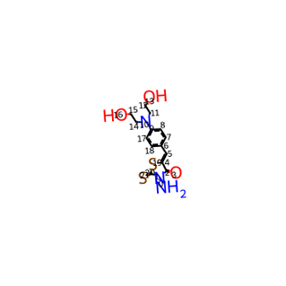 NN1C(=O)C(=Cc2ccc(N(CCO)CCO)cc2)SC1=S